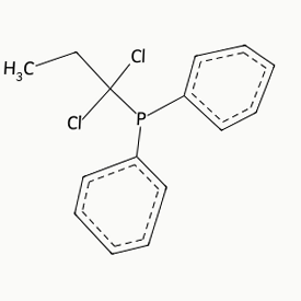 CCC(Cl)(Cl)P(c1ccccc1)c1ccccc1